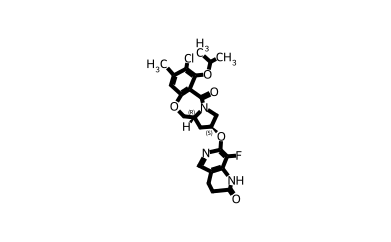 Cc1cc2c(c(OC(C)C)c1Cl)C(=O)N1C[C@@H](Oc3ncc4c(c3F)NC(=O)CC4)C[C@@H]1CO2